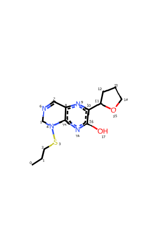 CCCSN1CN=Cc2nc(C3CCCO3)c(O)nc21